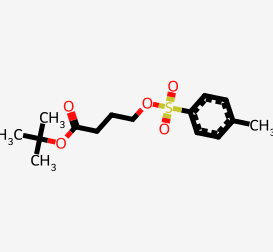 Cc1ccc(S(=O)(=O)OCCCC(=O)OC(C)(C)C)cc1